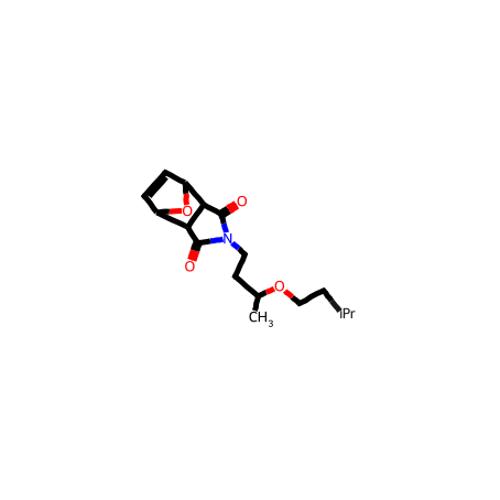 CC(C)CCOC(C)CCN1C(=O)C2C3C=CC(O3)C2C1=O